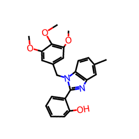 COc1cc(Cn2c(-c3ccccc3O)nc3cc(C)ccc32)cc(OC)c1OC